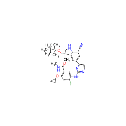 CNC(=O)c1cc(Nc2nccc(-c3cc(C#N)c4c(c3)[C@@](C)(CO[Si](C)(C)C(C)(C)C)CN4)n2)c(F)cc1OC1CC1